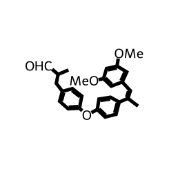 COc1cc(/C=C(/C)c2ccc(Oc3ccc(CC(C)C=O)cc3)cc2)cc(OC)c1